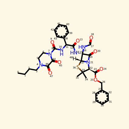 CCCCN1CCN(C(=O)NC(C(=O)N[C@]2(NC=O)C(=O)N3[C@@H](C(=O)OCc4ccccc4)C(C)(C)S[C@@H]32)c2ccccc2)C(=O)C1=O